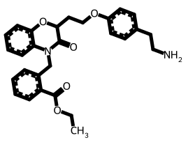 CCOC(=O)c1ccccc1CN1C(=O)C(CCOc2ccc(CCN)cc2)Oc2ccccc21